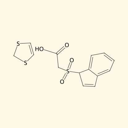 C1=CSCS1.O=C(O)CS(=O)(=O)C1C=Cc2ccccc21